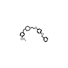 Cc1ccc(CC2CCN(CCOc3ccc(OCc4ccccc4)cc3)CC2)cc1